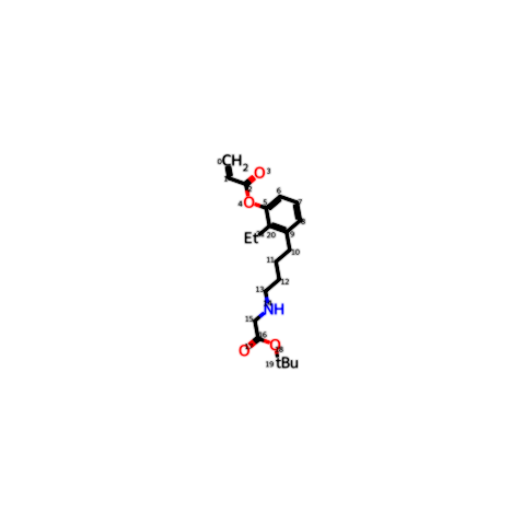 C=CC(=O)Oc1cccc(CCCCNCC(=O)OC(C)(C)C)c1CC